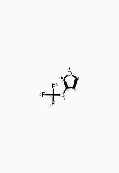 FC(F)(F)Oc1c[c]on1